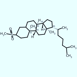 CC(C)CCCC(C)[C@H]1CC[C@H]2[C@@H]3CCC4CC(S(C)(=O)=O)CC[C@]4(C)[C@H]3CC[C@]12C